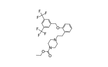 CCOC(=O)N1CCN(CCc2ccccc2OCc2cc(C(F)(F)F)cc(C(F)(F)F)c2)CC1